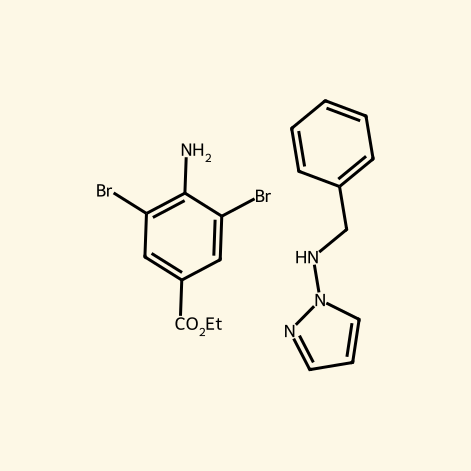 CCOC(=O)c1cc(Br)c(N)c(Br)c1.c1ccc(CNn2cccn2)cc1